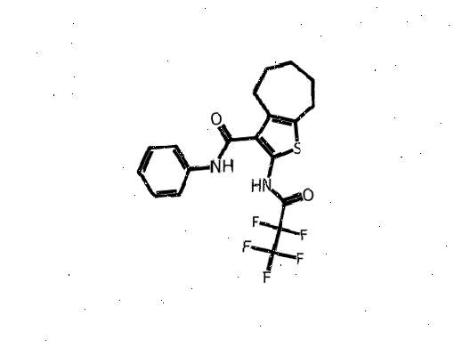 O=C(Nc1ccccc1)c1c(NC(=O)C(F)(F)C(F)(F)F)sc2c1CCCCC2